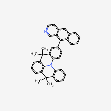 CC1(C)c2ccccc2N2c3ccc(-c4c5ccccc5cc5ccncc45)cc3C(C)(C)c3cccc1c32